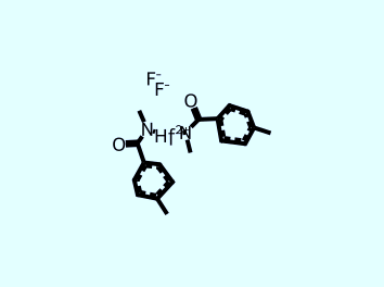 Cc1ccc(C(=O)[N](C)[Hf+2][N](C)C(=O)c2ccc(C)cc2)cc1.[F-].[F-]